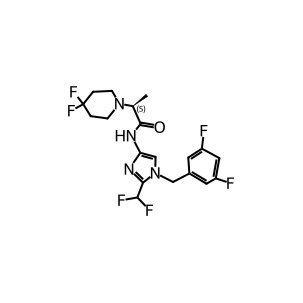 C[C@@H](C(=O)Nc1cn(Cc2cc(F)cc(F)c2)c(C(F)F)n1)N1CCC(F)(F)CC1